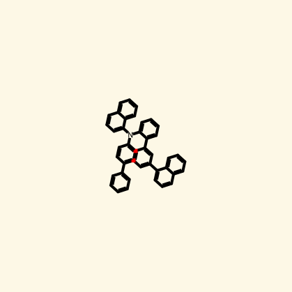 c1ccc(-c2ccc(N(c3ccccc3-c3cccc(-c4cccc5ccccc45)c3)c3cccc4ccccc34)cc2)cc1